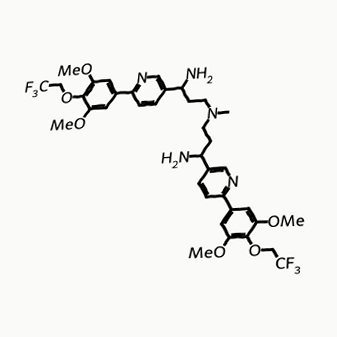 COc1cc(-c2ccc(C(N)CCN(C)CCC(N)c3ccc(-c4cc(OC)c(OCC(F)(F)F)c(OC)c4)nc3)cn2)cc(OC)c1OCC(F)(F)F